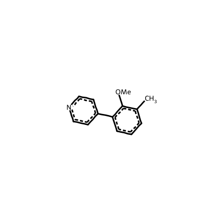 COc1c(C)cccc1-c1ccncc1